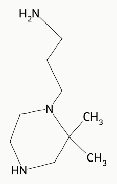 CC1(C)CNCCN1CCCN